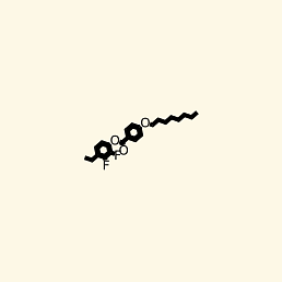 CCCCCCCCOc1ccc(C(=O)Oc2ccc(CC)c(F)c2F)cc1